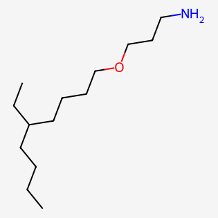 CCCCC(CC)CCCCOCCCN